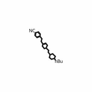 CCCCC1CCC(CCC2CC=C(CCc3ccc(C#N)cc3)CC2)CC1